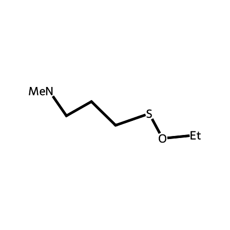 CCOSCCCNC